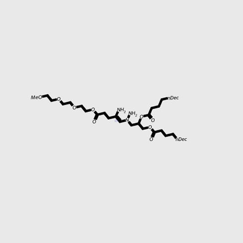 CCCCCCCCCCCCCC(=O)OCC(CN(N)/C=C(\N)CCC(=O)OCCOCCOCCOC)OC(=O)CCCCCCCCCCCCC